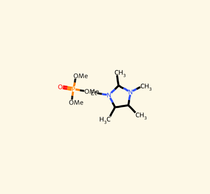 CCN1C(C)C(C)N(C)C1C.COP(=O)(OC)OC